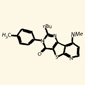 CCCCc1nc2c(sc3nccc(NC)c32)c(=O)n1-c1ccc(C)cc1